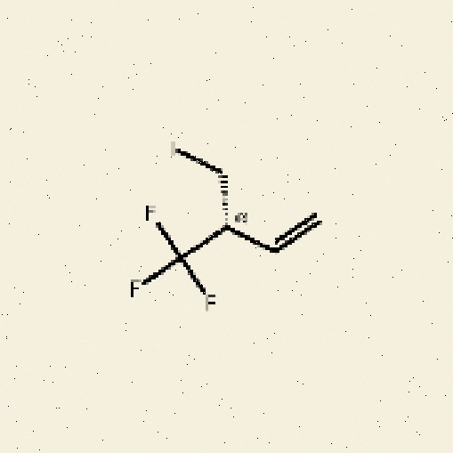 C=C[C@@H](CI)C(F)(F)F